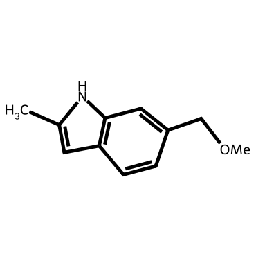 COCc1ccc2cc(C)[nH]c2c1